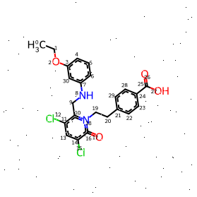 CCOc1cccc(NCc2c(Cl)cc(Cl)c(=O)n2CCc2ccc(C(=O)O)cc2)c1